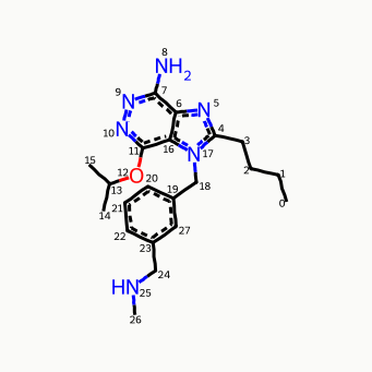 CCCCc1nc2c(N)nnc(OC(C)C)c2n1Cc1cccc(CNC)c1